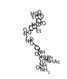 CCc1c2c(nc3ccc(OC(=O)N(C)CCN(C)C(=O)OCc4ccc(NC(=O)[C@H](CCCNC(N)=O)NC(=O)[C@@H](NC(C)=O)C(C)C)cc4)cc13)-c1cc3c(c(=O)n1C2)COC(=O)C3(O)CC